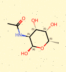 CC(=O)N[C@H]1[C@H](O)[C@H](O)[C@H](C)O[C@H]1O